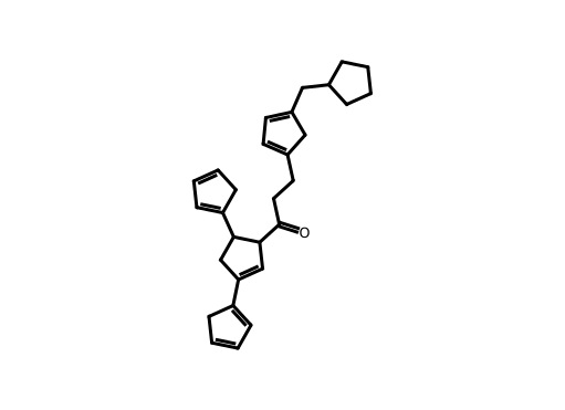 O=C(CCC1=CC=C(CC2CCCC2)C1)C1C=C(C2=CC=CC2)CC1C1=CC=CC1